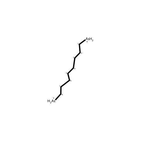 [AsH2]CCCCCCCC[AsH2]